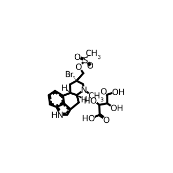 CN1C[C@](Br)(COS(C)(=O)=O)C[C@@H]2c3cccc4[nH]cc(c34)C[C@H]21.O=C(O)C(O)C(O)C(=O)O